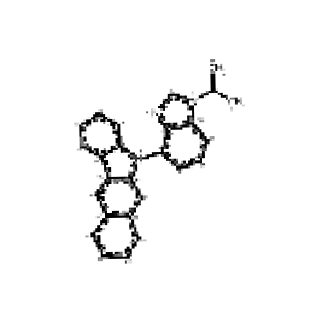 CC(C)n1cnc2c(-n3c4ccccc4c4cc5ccccc5cc43)cccc21